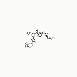 Cc1cc(Nc2nccc(O[C@@H]3CCN(C(=O)O)C3)n2)cc(-c2cnc(N3CCCNC(=O)C3)s2)c1